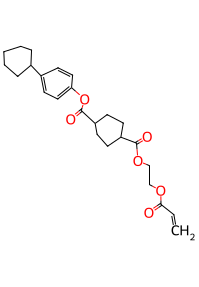 C=CC(=O)OCCOC(=O)C1CCC(C(=O)Oc2ccc(C3CCCCC3)cc2)CC1